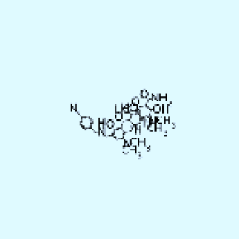 CN(C)c1cc(CNCc2ccc(C#N)cc2)c(O)c2c1C[C@H]1C[C@H]3[C@H](N(C)C)C(O)=C(C(N)=O)C(=O)[C@@]3(O)C(O)=C1C2=O